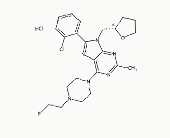 Cc1nc(N2CCN(CCF)CC2)c2nc(-c3ccccc3Cl)n(C[C@@H]3CCCO3)c2n1.Cl